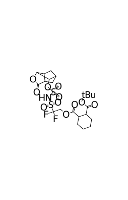 CC(C)(C)OC(=O)C1CCCCC1C(=O)OCC(F)(F)S(=O)(=O)NS(=O)(=O)OC1C2CC3C(=O)OC1C3C2